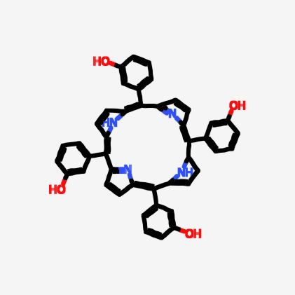 Oc1cccc(C2=C3C=CC(=N3)C(c3cccc(O)c3)=c3ccc([nH]3)=C(c3cccc(O)c3)C3=NC(=C(c4cccc(O)c4)C4CC=C2N4)C=C3)c1